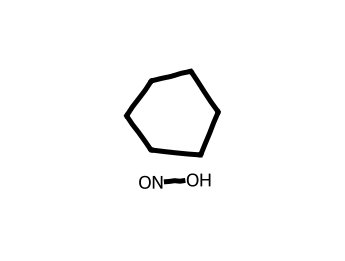 C1CCCCC1.O=NO